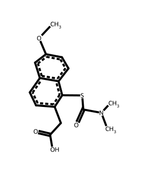 COc1ccc2c(SC(=O)N(C)C)c(CC(=O)O)ccc2c1